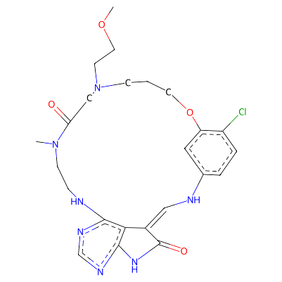 COCCN1CCCOc2cc(ccc2Cl)N/C=C2\C(=O)Nc3ncnc(c32)NCCN(C)C(=O)C1